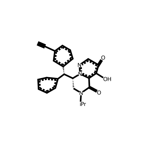 C#Cc1cccc([C@@H](c2ccccc2)[C@H]2CN(C(C)C)C(=O)c3c(O)c(=O)cnn32)c1